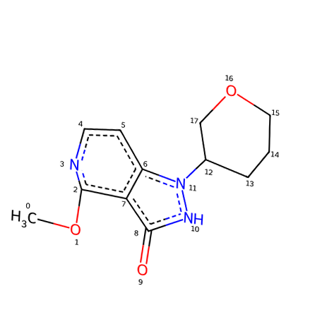 COc1nccc2c1c(=O)[nH]n2C1CCCOC1